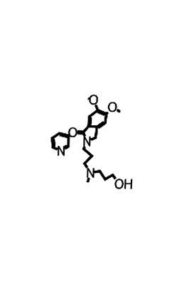 COc1cc2c(cc1OC)C(=O)N(CCCN(C)CCCO)C2.c1ccncc1